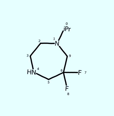 CC(C)N1CCNCC(F)(F)C1